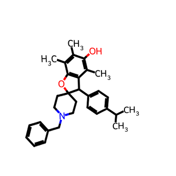 Cc1c(C)c2c(c(C)c1O)C(c1ccc(C(C)C)cc1)C1(CCN(Cc3ccccc3)CC1)O2